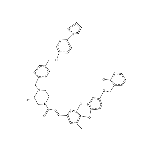 Cc1cc(/C=C/C(=O)N2CCN(Cc3ccc(COc4ccc(-n5cccc5)cc4)cc3)CC2)cc(Cl)c1Oc1ccc(OCc2ccccc2Cl)cn1.Cl